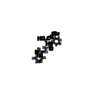 CC(C)(C)N(C(=O)O)c1ccccc1NC(=O)/C=C/c1cnc2ccccn12